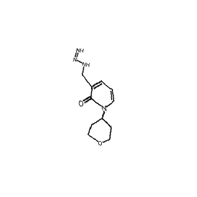 N=NNCc1cccn(C2CCOCC2)c1=O